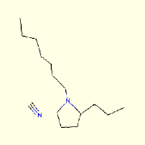 C#N.CCCCCCCN1CCCC1CCC